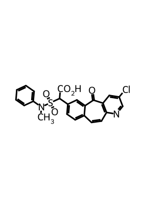 CN(c1ccccc1)S(=O)(=O)C(C(=O)O)c1ccc2ccc3ncc(Cl)cc3c(=O)c2c1